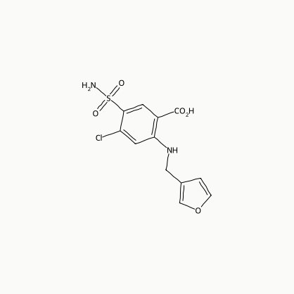 NS(=O)(=O)c1cc(C(=O)O)c(NCc2ccoc2)cc1Cl